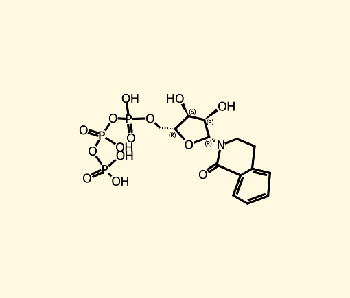 O=C1c2ccccc2CCN1[C@@H]1O[C@H](COP(=O)(O)OP(=O)(O)OP(=O)(O)O)[C@@H](O)[C@H]1O